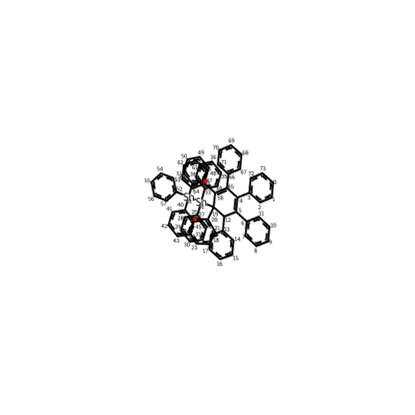 c1ccc(C2=C(c3ccccc3)C(c3ccccc3)[C](c3ccccc3)([Sn]([c]3ccccc3)([c]3ccccc3)[Sn]([c]3ccccc3)([c]3ccccc3)[c]3ccccc3)C(c3ccccc3)=C2c2ccccc2)cc1